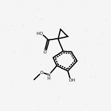 CONc1cc(C2(C(=O)O)CC2)ccc1O